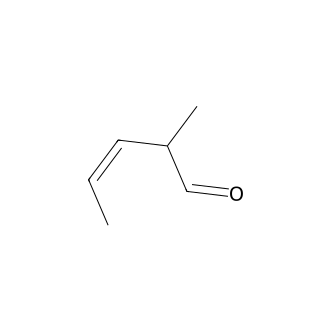 C/C=C\C(C)C=O